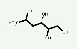 O=C(O)C(O)C[C@H](O)C(O)CO